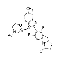 CC(=O)N1CCO[C@@H](Cn2c(-c3c(F)cc4c(c3F)CC3CCC(=O)N43)nc3cc(C)ccc32)C1